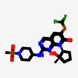 C[C@@]1(O)CCC[C@H]1n1c(=O)c(SC(F)F)cc2cnc(NC3CCN(S(C)(=O)=O)CC3)nc21